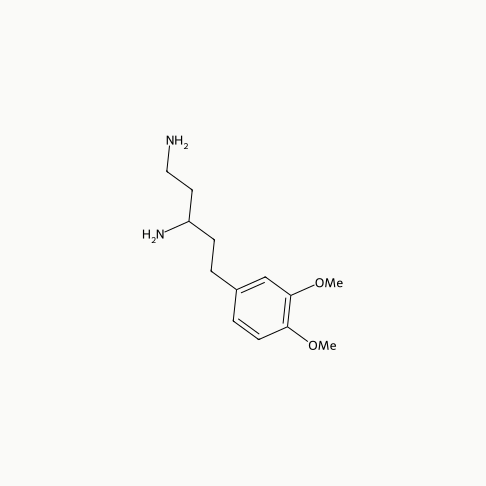 COc1ccc(CCC(N)CCN)cc1OC